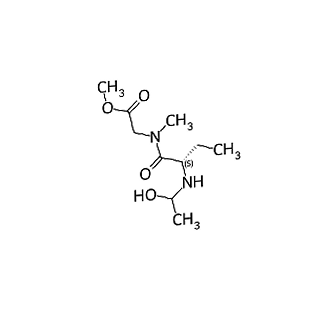 CC[C@H](NC(C)O)C(=O)N(C)CC(=O)OC